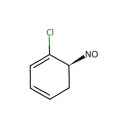 O=N[C@H]1CC=CC=C1Cl